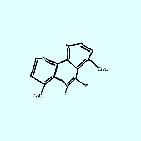 O=Cc1ccnc2c1c(F)c(F)c1c(C=O)ccnc12